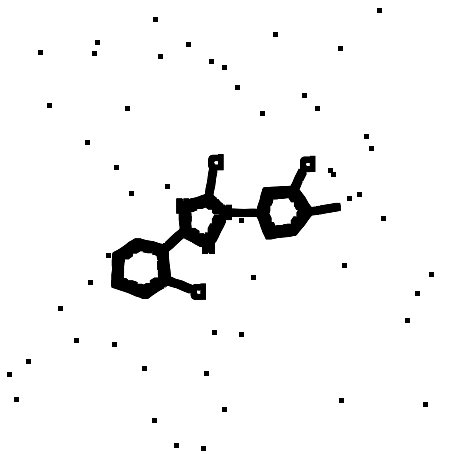 Cc1ccc(-n2nc(-c3ccccc3Cl)nc2Cl)cc1Cl